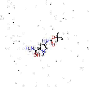 Cn1cc(NC(=O)OC(C)(C)C)cc1C(N)O